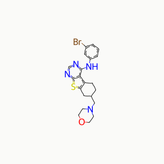 Brc1cccc(Nc2ncnc3sc4c(c23)CCC(CN2CCOCC2)C4)c1